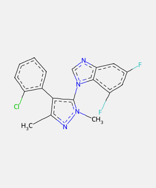 Cc1nn(C)c(-n2cnc3cc(F)cc(F)c32)c1-c1ccccc1Cl